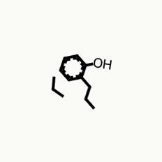 CCC.CCCc1ccccc1O